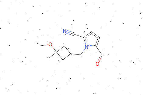 COC1(C)CC(Cn2c(C#N)ccc2C=O)C1